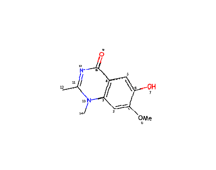 COc1cc2c(cc1O)c(=O)nc(C)n2C